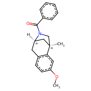 COc1ccc2c(c1)[C@@]1(C)C[C@@H](C2)N(C(=O)c2ccccc2)C1